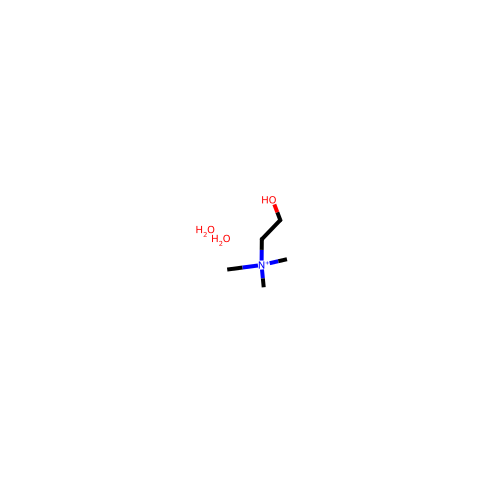 C[N+](C)(C)CCO.O.O